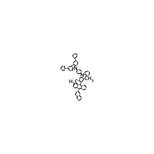 Cc1cc(N(c2ccccc2)c2ccc(-n3c4ccc(-c5ccccc5)cc4c4cc(-c5ccccc5)ccc43)cc2)c(C)cc1-c1c2ccccc2c(-c2ccc3ccccc3c2)c2ccccc12